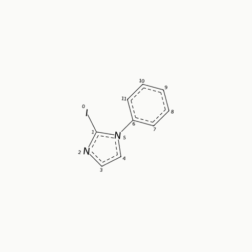 Ic1nccn1-c1ccccc1